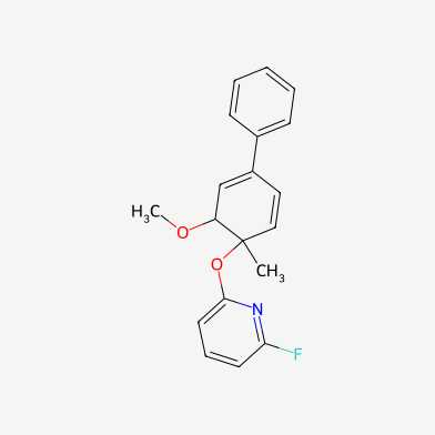 COC1C=C(c2ccccc2)C=CC1(C)Oc1cccc(F)n1